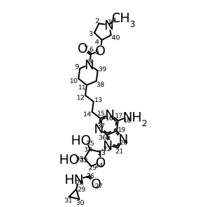 CN1CCC(OC(=O)N2CCC(CCCc3nc(N)c4ncn([C@@H]5O[C@H](C(=O)NC6CC6)[C@H](O)C5O)c4n3)CC2)C1